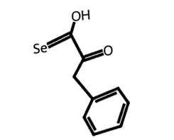 O=C(Cc1ccccc1)C(O)=[Se]